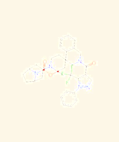 CCOC(=O)N1C2CCC1CC(N1CCC3(CC1)CN(C(=O)c1cnn(-c4ccccc4)c1C(F)(F)F)Cc1ccccc13)C2